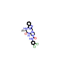 CC(C)[C@@H]1Nc2nc(nc3ccccc23)CN2CCN(C(=O)Nc3ccc(Cl)c(Cl)c3)CC2NC1=O